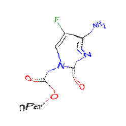 CCCCCOC(=O)n1cc(F)c(N)nc1=O